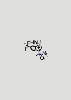 C=C(/C(C)=C(\N=C/C)OC)c1ccc(C(F)(F)F)cc1S(=N)(=O)CC